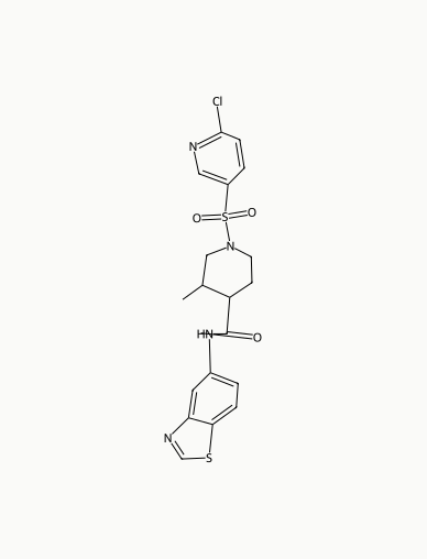 CC1CN(S(=O)(=O)c2ccc(Cl)nc2)CCC1C(=O)Nc1ccc2scnc2c1